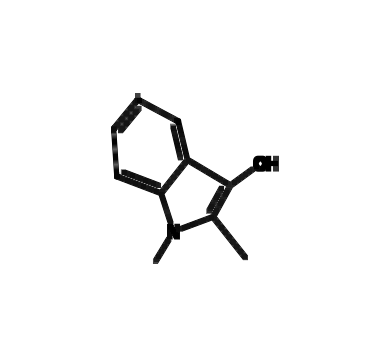 Cc1c(O)c2c[c]ccc2n1C